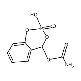 NC(=O)OC1OP(=O)(O)Oc2ccccc21